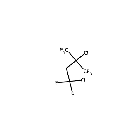 FC(F)(Cl)CC(Cl)(C(F)(F)F)C(F)(F)F